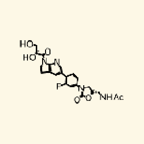 CC(=O)NC[C@H]1CN(c2ccc(-c3cnc4c(c3)CCN4C(=O)[C@@H](O)CO)c(F)c2)C(=O)O1